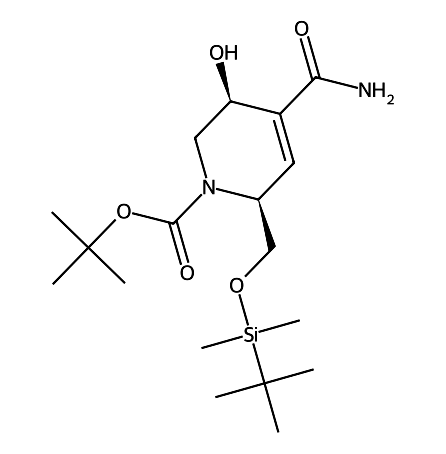 CC(C)(C)OC(=O)N1C[C@@H](O)C(C(N)=O)=C[C@H]1CO[Si](C)(C)C(C)(C)C